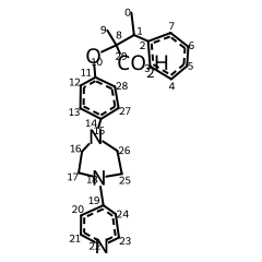 CC(c1ccccc1)C(C)(Oc1ccc(N2CCN(c3ccncc3)CC2)cc1)C(=O)O